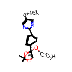 CCCCCCc1cnc(-c2ccc([C@@]3(OC(=O)O)COC(C)(C)O3)cc2)nc1